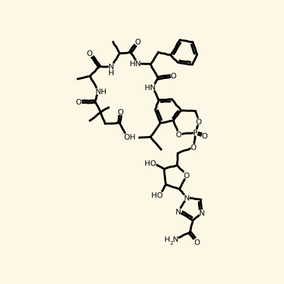 CC(NC(=O)C(C)NC(=O)C(C)(C)CC(=O)O)C(=O)NC(Cc1ccccc1)C(=O)Nc1cc2c(c(C(C)C)c1)OP(=O)(OCC1OC(n3cnc(C(N)=O)n3)C(O)C1O)OC2